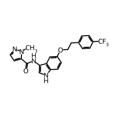 Cn1nccc1C(=O)Nc1c[nH]c2ccc(OCCc3ccc(C(F)(F)F)cc3)cc12